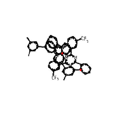 Cc1cc(C)cc(-c2ccc3c4ccccc4n(-c4ccc(C(F)(F)F)cc4-c4nc(-c5ccccc5)nc(-c5cc(C(F)(F)F)ccc5-n5c6ccccc6c6ccc(-c7cc(C)cc(C)c7)cc65)n4)c3c2)c1